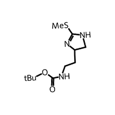 CSC1=NC(CCNC(=O)OC(C)(C)C)CN1